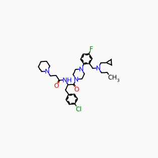 CCCN(Cc1cc(F)ccc1N1CCN(C(=O)C(Cc2ccc(Cl)cc2)NC(=O)CCN2CCCCC2)CC1)CC1CC1